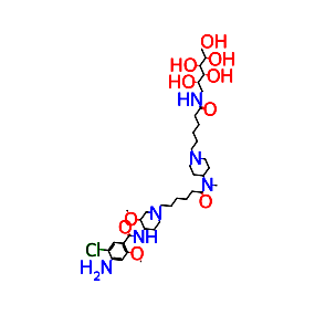 COc1cc(N)c(Cl)cc1C(=O)N[C@@H]1CCN(CCCCCC(=O)N(C)C2CCN(CCCCCC(=O)NC[C@H](O)[C@@H](O)[C@H](O)[C@H](O)CO)CC2)C[C@@H]1OC